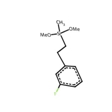 CO[Si](C)(CCc1cccc(F)c1)OC